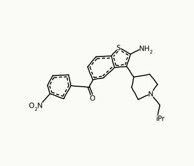 CC(C)CN1CCC(c2c(N)sc3ccc(C(=O)c4cccc([N+](=O)[O-])c4)cc23)CC1